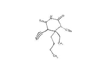 CCCCC1(CC)C(C#N)C(=O)NC(=O)C1C#N